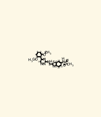 COc1cccc(OC)c1-c1cnnc(NCc2nc3ccc(NS(C)(=O)=O)cc3s2)n1